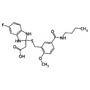 CCCCNC(=O)c1ccc(OC)c(CSC2(CC(=O)O)Nc3ccc(F)cc3N2)c1